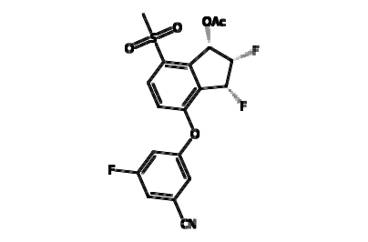 CC(=O)O[C@H]1c2c(S(C)(=O)=O)ccc(Oc3cc(F)cc(C#N)c3)c2[C@@H](F)[C@H]1F